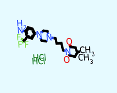 CC1(C)CC(=O)N(CCCCN2CCN(c3ccc(N)c(C(F)(F)F)c3)CC2)C(=O)C1.Cl.Cl